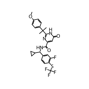 COc1ccc(C(C)(C)c2nc(C(=O)N[C@@H](c3ccc(SC(F)(F)F)c(F)c3)C3CC3)cc(=O)[nH]2)cc1